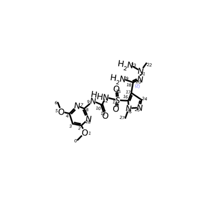 COc1cc(OC)nc(NC(=O)NS(=O)(=O)c2c(/C(N)=N/N(C)N)cnn2C)n1